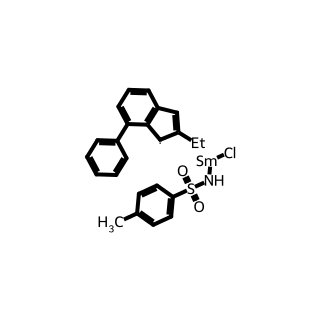 CCC1=Cc2cccc(-c3ccccc3)c2[CH]1.Cc1ccc(S(=O)(=O)[NH][Sm][Cl])cc1